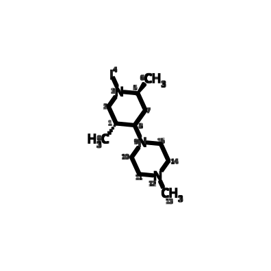 C[C@@H]1CN(I)[C@@H](C)CC1N1CCN(C)CC1